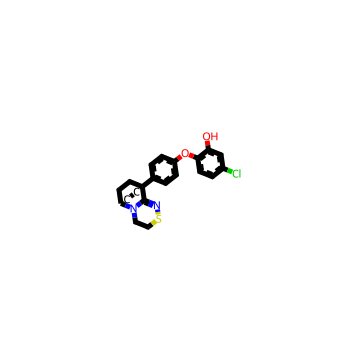 Oc1cc(Cl)ccc1Oc1ccc(C23CCC(CC2)N2CCSN=C23)cc1